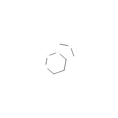 C1COOOC1.COC